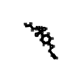 C#CCOc1ccc(S(=O)(=O)NCC=C)cc1